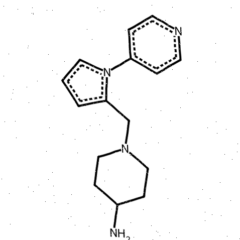 NC1CCN(Cc2cccn2-c2ccncc2)CC1